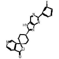 O=C1O[C@]2(CC[C@H](c3nc4nc(-c5cccc(F)c5)ncc4[nH]3)CC2)c2cnccc21